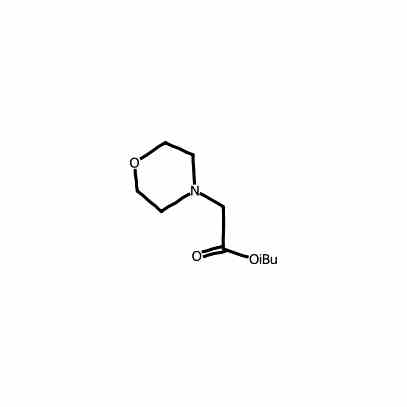 CC(C)COC(=O)CN1CCOCC1